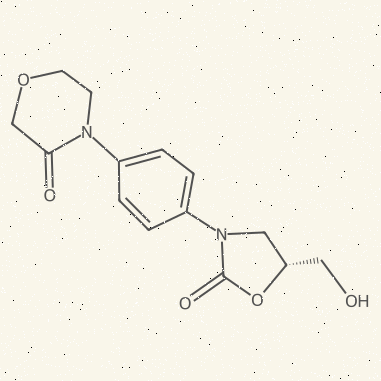 O=C1COCCN1c1ccc(N2C[C@H](CO)OC2=O)cc1